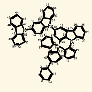 c1ccc(-c2ccc(S3(c4ccccc4)c4ccccc4-n4c5ccccc5c5cc(-n6c7ccccc7c7cc(-n8c9ccccc9c9ccccc98)ccc76)cc3c54)cc2)cc1